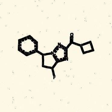 O=C(c1nc2n(n1)C(c1ccccc1)CC2F)C1CCC1